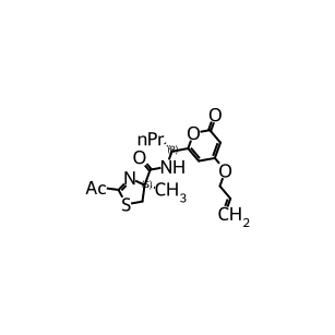 C=CCOc1cc([C@@H](CCC)NC(=O)[C@@]2(C)CSC(C(C)=O)=N2)oc(=O)c1